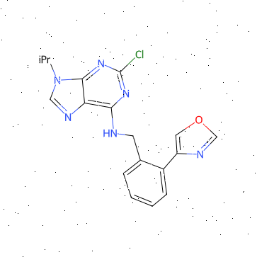 CC(C)n1cnc2c(NCc3ccccc3-c3cocn3)nc(Cl)nc21